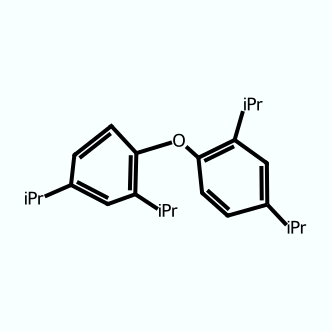 CC(C)c1ccc(Oc2ccc(C(C)C)cc2C(C)C)c(C(C)C)c1